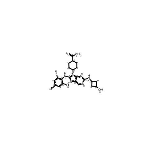 NC(=O)C1CCC(n2c(Nc3c(F)cc(F)cc3Cl)nc3cnc(NC4CC(O)C4)nc32)CC1